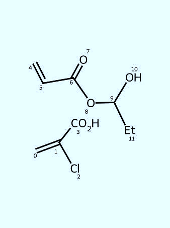 C=C(Cl)C(=O)O.C=CC(=O)OC(O)CC